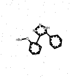 CCCCOc1ccccc1-c1nn[nH]c1-c1ccccc1